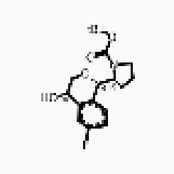 CC(C)(C)OC(=O)N1CCC[C@H]1[C@H]1OC[C@H](O)c2cc(F)ccc21